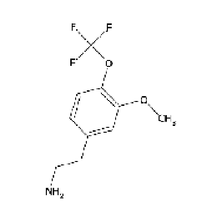 COc1cc(CCN)ccc1OC(F)(F)F